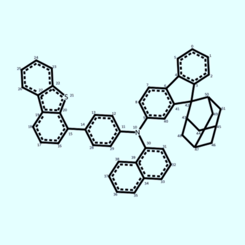 c1ccc2c(c1)-c1ccc(N(c3ccc(-c4cccc5c4sc4ccccc45)cc3)c3cccc4ccccc34)cc1C21C2CC3CC(C2)CC1C3